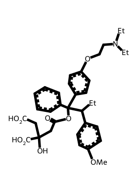 CCC(c1ccc(OC)cc1)C(OC(=O)CC(O)(CC(=O)O)C(=O)O)(c1ccccc1)c1ccc(OCCN(CC)CC)cc1